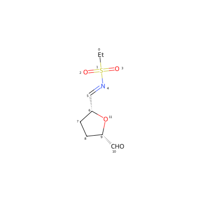 CCS(=O)(=O)N=C[C@H]1CC[C@@H](C=O)O1